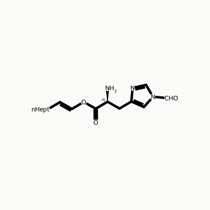 CCCCCCCC=COC(=O)[C@@H](N)Cc1cn(C=O)cn1